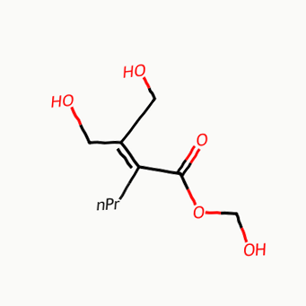 CCCC(C(=O)OCO)=C(CO)CO